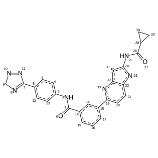 O=C(Nc1ccc(C2=NCN=N2)cc1)c1cccc(-c2ccc3nc(NC(=O)C4CC4)sc3n2)c1